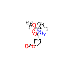 CCC(NC(=O)[C@@H]1CCC[C@H](OCC=O)C1)C(=O)OC